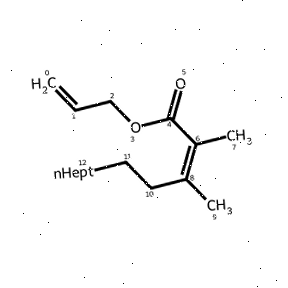 C=CCOC(=O)C(C)=C(C)CCCCCCCCC